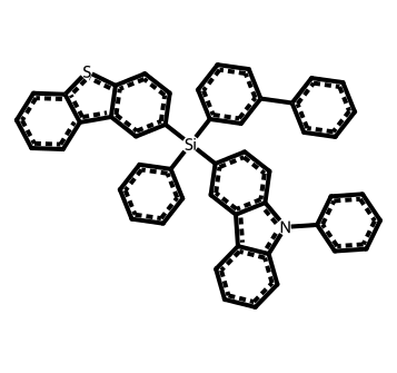 c1ccc(-c2cccc([Si](c3ccccc3)(c3ccc4sc5ccccc5c4c3)c3ccc4c(c3)c3ccccc3n4-c3ccccc3)c2)cc1